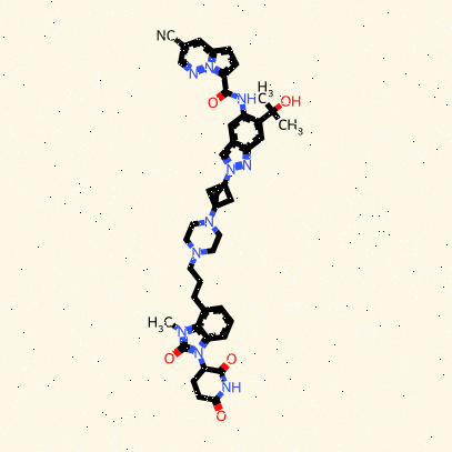 Cn1c(=O)n(C2CCC(=O)NC2=O)c2cccc(CCCN3CCN(C45CC(n6cc7cc(NC(=O)c8ccc9cc(C#N)cnn89)c(C(C)(C)O)cc7n6)(C4)C5)CC3)c21